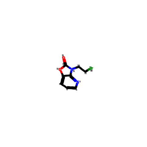 O=c1oc2cccnc2n1CCBr